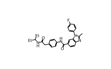 CCC(CC)NC(=O)Cc1ccc(NC(=O)c2ccc3nc(C)n(-c4ccc(F)cc4)c3c2)cc1